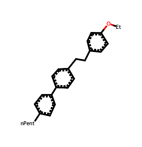 CCCCCc1ccc(-c2ccc(CCc3ccc(OCC)cc3)cc2)cc1